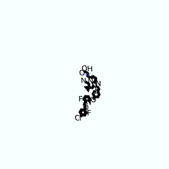 N#CCC1(Cn2c(CN3CCC(Oc4ccc(F)c(COc5ccc(Cl)cc5F)n4)CC3)nc3ccc(/C=C/C(=O)O)nc32)CC1